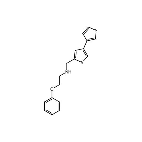 c1ccc(OCCNCc2cc(-c3ccsc3)cs2)cc1